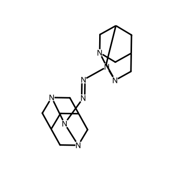 C1C2CN3CC1CN(C2)N3N=NN1N2CC3CC(C2)CN1C3